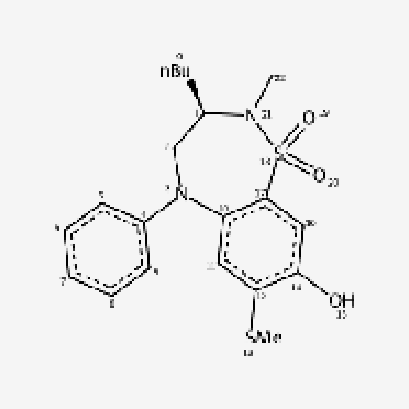 CCCC[C@@H]1CN(c2ccccc2)c2cc(SC)c(O)cc2S(=O)(=O)N1C